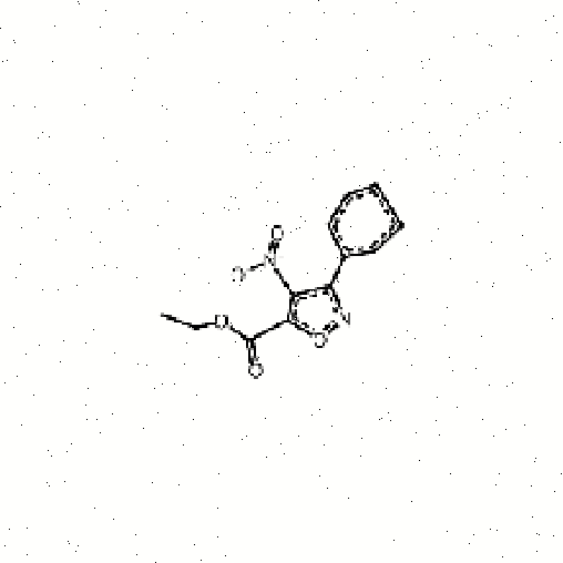 CCOC(=O)c1onc(-c2ccccc2)c1[N+](=O)[O-]